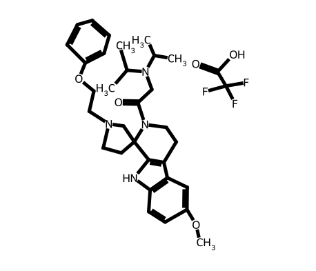 COc1ccc2[nH]c3c(c2c1)CCN(C(=O)CN(C(C)C)C(C)C)C31CCN(CCOc2ccccc2)C1.O=C(O)C(F)(F)F